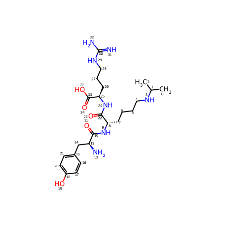 CC(C)NCCCC[C@H](NC(=O)[C@@H](N)Cc1ccc(O)cc1)C(=O)N[C@H](CCCNC(=N)N)C(=O)O